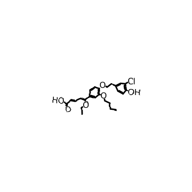 CCCCOc1cc(C(CC=CC(=O)O)OCC)ccc1OCCc1ccc(O)c(Cl)c1